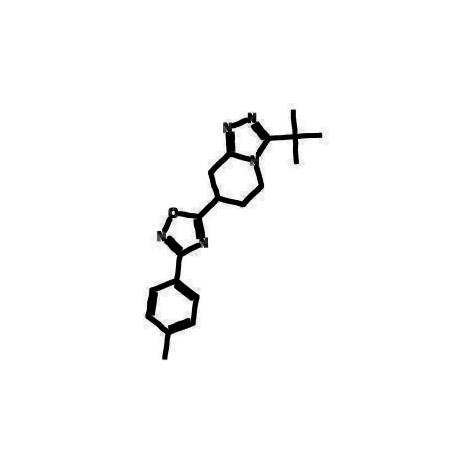 Cc1ccc(-c2noc(C3CCn4c(nnc4C(C)(C)C)C3)n2)cc1